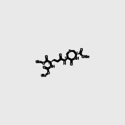 COC(=O)[C@H]1CSC[C@H](NC(=O)CC[C@H](NC(=O)OC(C)(C)C)C(=O)OC(C)(C)C)C(=O)N1